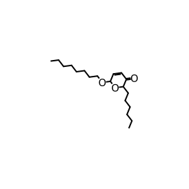 CCCCCCCCOC1C=CC(=O)C(CCCCCC)O1